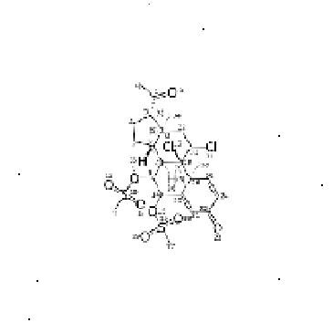 CC(=O)[C@H]1CC[C@H]2[C@@H]3C(OS(C)(=O)=O)C(OS(C)(=O)=O)C4=CC(=O)C=C[C@]4(C)[C@@]3(Cl)C(Cl)C[C@]12C